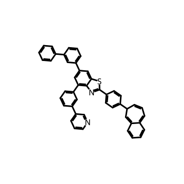 C1=CC(c2ccc(-c3nc4c(-c5cccc(-c6cccnc6)c5)cc(-c5cccc(-c6ccccc6)c5)cc4s3)cc2)C=c2ccccc2=C1